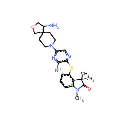 CN1C(=O)C(C)(C)c2c(Sc3ncc(N4CCC5(CC4)COCC5N)nc3N)cccc21